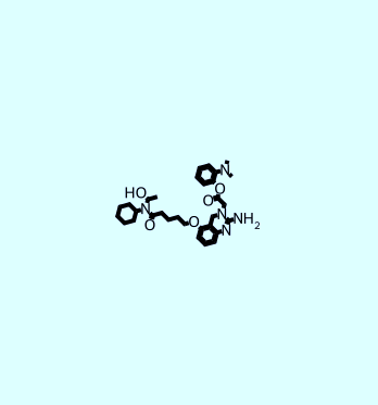 CC(O)N(C(=O)CCCCOc1cccc2c1CN(CC(=O)Oc1ccccc1N(C)C)C(N)=N2)C1CCCCC1